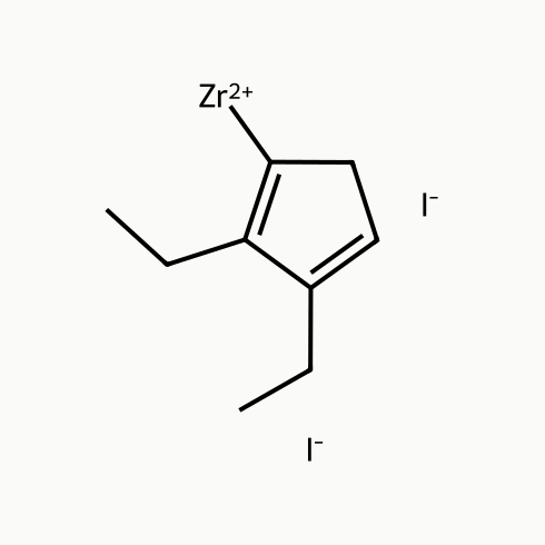 CCC1=CC[C]([Zr+2])=C1CC.[I-].[I-]